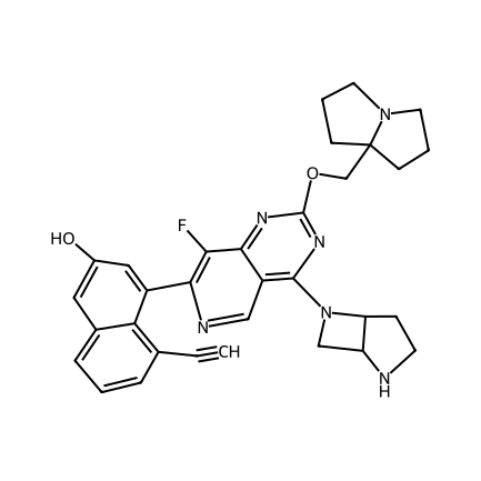 C#Cc1cccc2cc(O)cc(-c3ncc4c(N5CC6NCCC65)nc(OCC56CCCN5CCC6)nc4c3F)c12